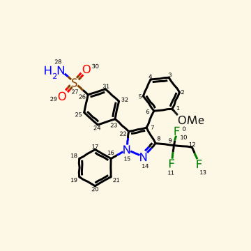 COc1ccccc1-c1c(C(F)(F)CF)nn(-c2ccccc2)c1-c1ccc(S(N)(=O)=O)cc1